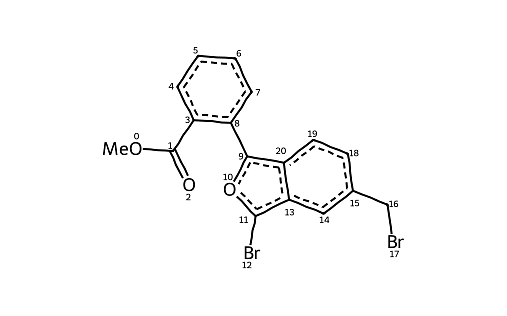 COC(=O)c1ccccc1-c1oc(Br)c2cc(CBr)ccc12